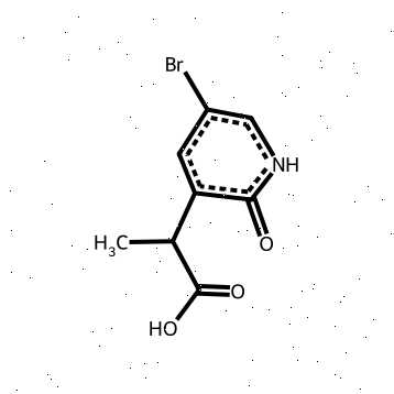 CC(C(=O)O)c1cc(Br)c[nH]c1=O